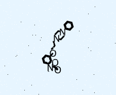 Cn1c(=O)oc2c(OCCCN3CCN(c4ccccc4)CC3)cccc21